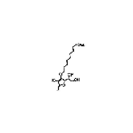 CCCCCCCCCCCCCCCCCCOC1=C(O)C(=O)O[C@@H]1[C@@H](O)CO